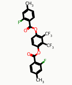 Cc1ccc(C(=O)Oc2ccc(OC(=O)c3ccc(C)cc3F)c(C(F)(F)F)c2C(F)(F)F)c(F)c1